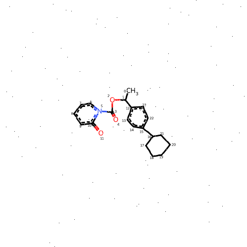 CC(OC(=O)n1ccccc1=O)c1ccc(C2CCCCC2)cc1